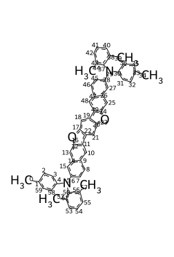 Cc1ccc(N(c2ccc3cc4c(cc3c2)oc2cc3c(cc24)oc2cc4cc(N(c5ccc(C)cc5)c5c(C)cccc5C)ccc4cc23)c2c(C)cccc2C)cc1